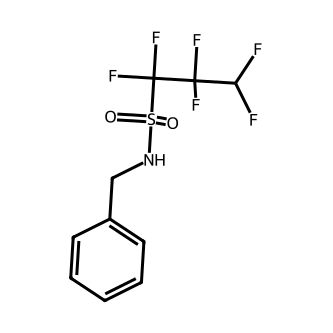 O=S(=O)(NCc1ccccc1)C(F)(F)C(F)(F)C(F)F